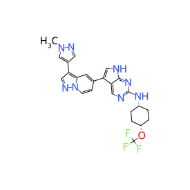 Cn1cc(-c2cnn3ccc(-c4c[nH]c5nc(N[C@H]6CC[C@@H](OC(F)(F)F)CC6)ncc45)cc23)cn1